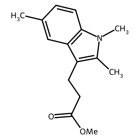 COC(=O)CCc1c(C)n(C)c2ccc(C)cc12